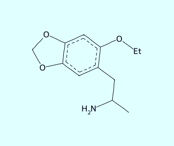 CCOc1cc2c(cc1CC(C)N)OCO2